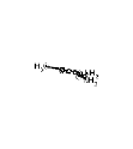 CC#CC#CC#CC1CCC(C2CCC(C3CCC(OC(=O)c4cc(N)cc(N)c4)CC3)CC2)CC1